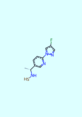 C[C@@H](NS)c1ccc(-n2cc(F)cn2)nc1